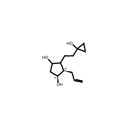 C=CC[C@@H]1C(CCC2(O)CC2)C(O)C[C@@H]1O